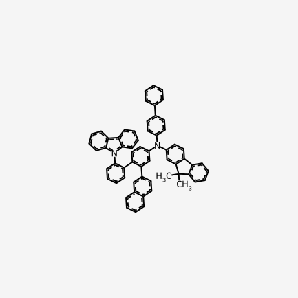 CC1(C)c2ccccc2-c2ccc(N(c3ccc(-c4ccccc4)cc3)c3ccc(-c4ccccc4-n4c5ccccc5c5ccccc54)c(-c4ccc5ccccc5c4)c3)cc21